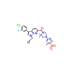 COC(=O)c1c(C)cc(N2CCN(C(=O)c3ccc4c(-c5ccc(Cl)c(F)c5)cn(CC5CC5)c4n3)C(C)(C)C2)nc1C